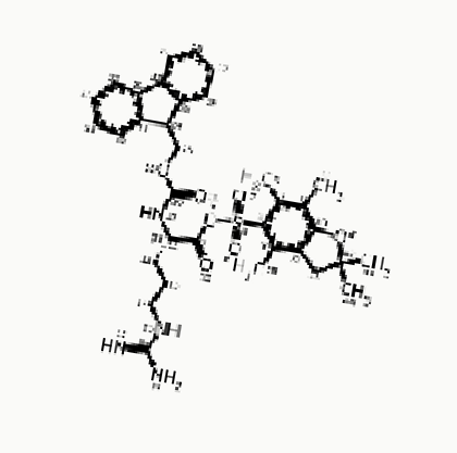 Cc1c(C)c(S(=O)(=O)OC(=O)[C@H](CCCNC(=N)N)NC(=O)OCC2c3ccccc3-c3ccccc32)c(C)c2c1OC(C)(C)C2